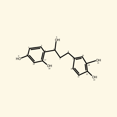 Oc1ccc(C(O)CCc2ccc(O)c(O)c2)c(O)c1